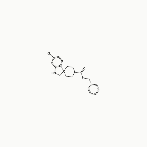 O=C(OCc1ccccc1)N1CCC2(CC1)CNc1cc(Cl)ccc12